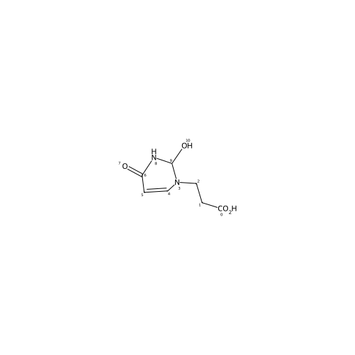 O=C(O)CCN1C=CC(=O)NC1O